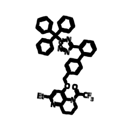 CCc1cc(OCc2ccc(-c3ccccc3-c3nnn(C(c4ccccc4)(c4ccccc4)c4ccccc4)n3)cc2)c2c(n1)CCCN2C(=O)C(F)(F)F